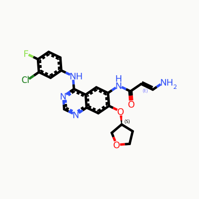 N/C=C/C(=O)Nc1cc2c(Nc3ccc(F)c(Cl)c3)ncnc2cc1O[C@H]1CCOC1